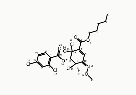 CCCCCOC(=O)C1=CC(=NOC)[C@@](F)(Cl)[C@H](OC(=O)c2ccc(Cl)cc2Cl)[C@]1(O)Cl